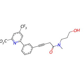 CCOC(=O)c1cc(C(F)(F)F)cc(-c2cccc(C#CCC(=O)N(C)CCCO)c2)n1